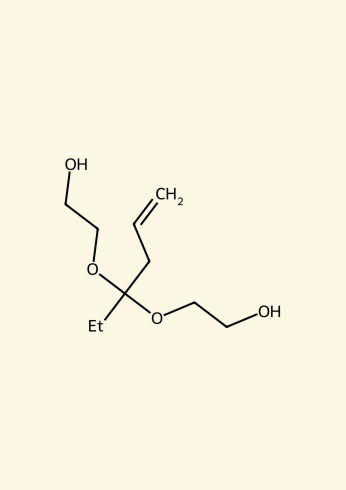 [CH2]CC(CC=C)(OCCO)OCCO